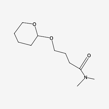 CN(C)C(=O)CCCOC1CCCCO1